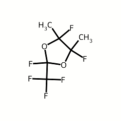 CC1(F)OC(F)(C(F)(F)F)OC1(C)F